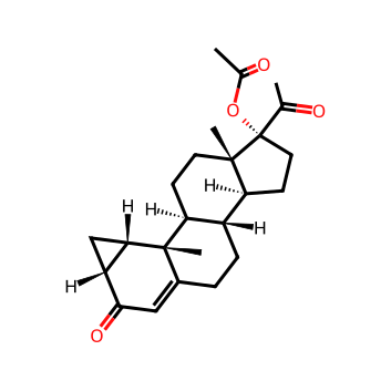 CC(=O)O[C@]1(C(C)=O)CC[C@H]2[C@@H]3CCC4=CC(=O)[C@@H]5C[C@@H]5[C@]4(C)[C@H]3CC[C@@]21C